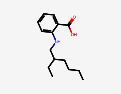 CCCCC(CC)CNc1ccccc1C(=O)O